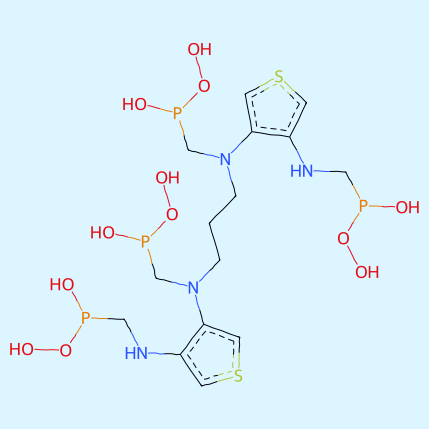 OOP(O)CNc1cscc1N(CCCN(CP(O)OO)c1cscc1NCP(O)OO)CP(O)OO